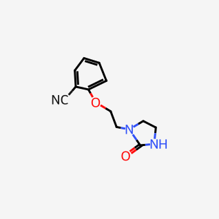 N#Cc1ccccc1OCCN1CCNC1=O